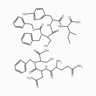 CCC(C)C(NC(=O)C(Cc1ccc(O)cc1)NC(=O)C(CS)N(Cc1ccccc1)C(=O)OCc1ccccc1)C(=O)O.NC(=O)CCC(N)C(=O)NC(CC(N)=O)C(=O)N(Cc1ccccc1)C(CS)C(=O)O